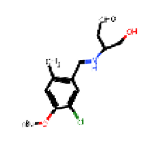 CCCCOc1cc(C)c(CNC(CO)CC=O)cc1Cl